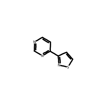 [c]1nccc(-c2ccsn2)n1